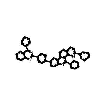 c1ccc(-c2ccc3ccc4c5cc(-c6ccc(-c7nc(-c8ccccc8)c8ccccc8n7)cc6)ccc5nc(-c5ccccc5)c4c3n2)cc1